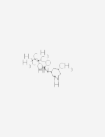 CC1CNCC(NC(=O)OC(C)(C)C)C1